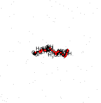 Cc1c(-c2ccc(N3CCc4cccc(C(=O)Nc5nc6ccccc6s5)c4C3)nc2C(=O)O)cnn1CC12CC3(OCCOCCN(CCCP(=O)(O)O)C(=O)OCc4ccc(NC(=O)[C@H](C)NC(=O)[C@@H](CC(=O)CCCCCN5C(=O)C=CC5=O)C(C)C)cc4)CC4(C)CC(C)(C1)C4(C2)C3